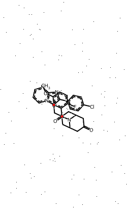 COc1ccc(F)c(C(=O)N2C3CC(=O)CC2CN(Cc2c(-c4ccc(Cl)cc4)nc4ncccn24)C3)n1